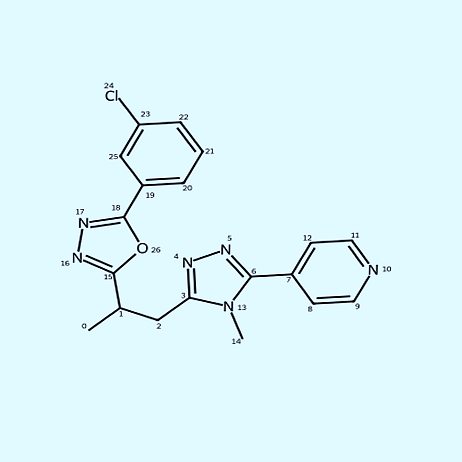 CC(Cc1nnc(-c2ccncc2)n1C)c1nnc(-c2cccc(Cl)c2)o1